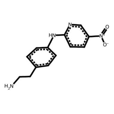 NCCc1ccc(Nc2ccc([N+](=O)[O-])cn2)cc1